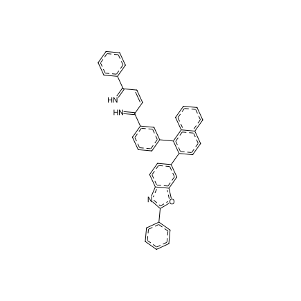 N=C(/C=C\C(=N)c1cccc(-c2c(-c3ccc4nc(-c5ccccc5)oc4c3)ccc3ccccc23)c1)c1ccccc1